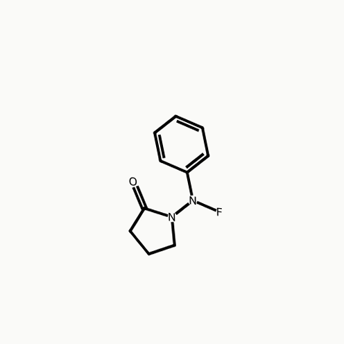 O=C1CCCN1N(F)c1ccccc1